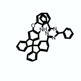 c1ccc(-c2nc(-c3ccccc3)nc(-c3ccc4c(c3)C3(c5ccccc5-4)c4ccccc4-c4cc5c(cc43)Nc3ccccc3O5)n2)cc1